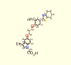 CCCc1cc(-c2nc3c(s2)CCCC3)ccc1OCCCOc1ccc2c(c1)c(CC)cn2CC(=O)O